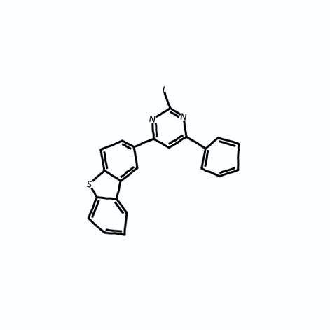 Ic1nc(-c2ccccc2)cc(-c2ccc3sc4ccccc4c3c2)n1